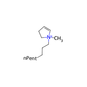 CCCCCCCC[N+]1(C)C=CCC1